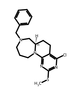 CSc1nc(Cl)c2c(n1)N1CCCN(Cc3ccccc3)C[C@H]1CC2